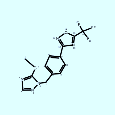 CSc1ncnn1Cc1ccc(-c2noc(C(F)(F)F)n2)cc1